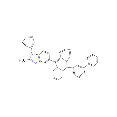 Cc1nc2cc(-c3c4ccccc4c(-c4cccc(-c5ccccc5)c4)c4ccccc34)ccc2n1-c1ccccc1